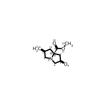 C=C1CN2CC(=O)C[C@@]2(C(=O)OC)C1